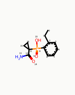 CCc1ccccc1P(=O)(O)C1(C(N)=O)CC1